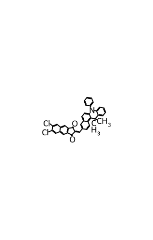 CC1(C)c2ccccc2N(c2ccccc2)c2ccc3cc(C=C4C(=O)c5cc6cc(Cl)c(Cl)cc6cc5C4=O)ccc3c21